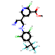 COC(=O)c1cc(/C(C=N)=C/Nc2c(Cl)cc(C(F)(C(F)(F)F)C(F)(F)F)cc2Cl)cnc1Cl